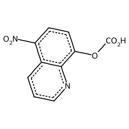 O=C(O)Oc1ccc([N+](=O)[O-])c2cccnc12